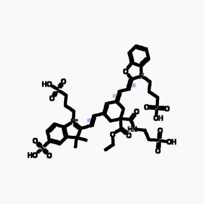 CCOC(=O)C1(C(=O)NCCS(=O)(=O)O)CC(/C=C/C2=[N+](CCCS(=O)(=O)O)c3ccc(S(=O)(=O)O)cc3C2(C)C)=CC(=C/C=C2\Oc3ccccc3N2CCCS(=O)(=O)O)/C1